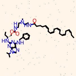 CC/C=C\C/C=C\C/C=C\C/C=C\C/C=C\CCCC(=O)NCCN(C)CCNC(=O)OC[C@@H](CC)Nc1nc(NCc2ccccc2)c2ncn(C(C)C)c2n1